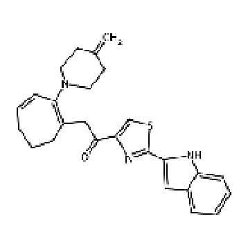 C=C1CCN(C2=C(CC(=O)c3csc(-c4cc5ccccc5[nH]4)n3)CCCC=C2)CC1